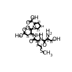 CSCC[C@H](NC(=O)[C@@H](N)CO)C(=O)N[C@@H](CC(=O)O)C(=O)N1CCC[C@H]1C(=O)O